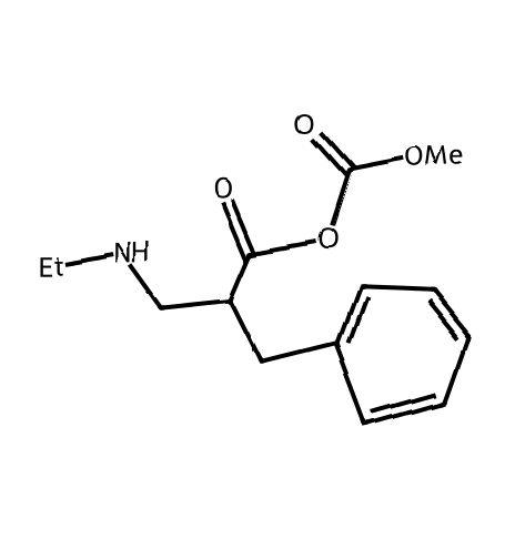 CCNCC(Cc1ccccc1)C(=O)OC(=O)OC